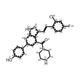 O=C(c1cc(-c2ccc(O)cc2)nc2[nH]nc(C=Cc3ccc(F)cc3Cl)c12)N1CCNCC1